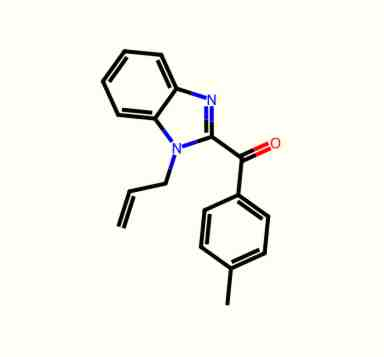 C=CCn1c(C(=O)c2ccc(C)cc2)nc2ccccc21